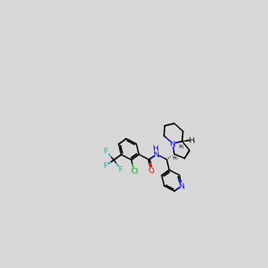 O=C(NC(c1cccnc1)[C@H]1CC[C@H]2CCCCN21)c1cccc(C(F)(F)F)c1Cl